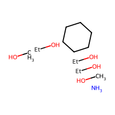 C1CCCCC1.CCO.CCO.CCO.CO.CO.N